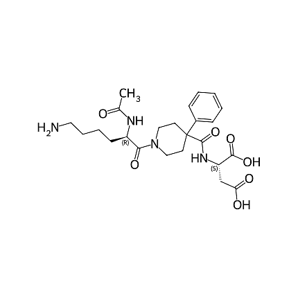 CC(=O)N[C@H](CCCCN)C(=O)N1CCC(C(=O)N[C@@H](CC(=O)O)C(=O)O)(c2ccccc2)CC1